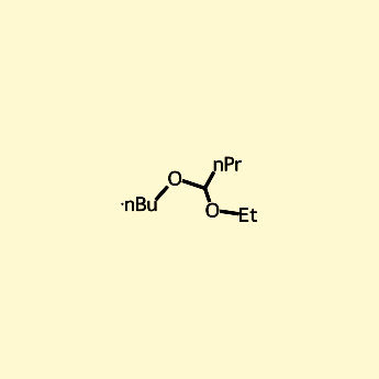 CCC[CH]OC(CCC)OCC